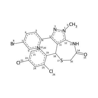 Cn1nc(-c2ccc(Br)cn2)c2c1NC(=O)CSC2c1ccc(Cl)cc1Cl